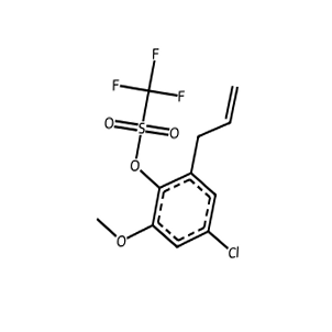 C=CCc1cc(Cl)cc(OC)c1OS(=O)(=O)C(F)(F)F